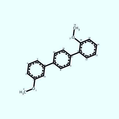 COc1[c]ccc(-c2ccc(-c3ccccc3OC)cc2)c1